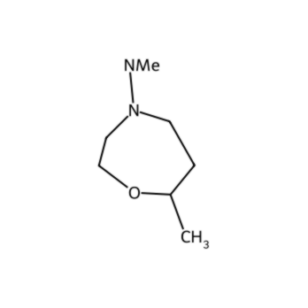 CNN1CCOC(C)CC1